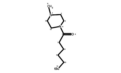 CN1CCN(C(=O)CCCCC(C)(C)C)CC1